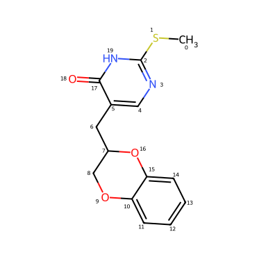 CSc1ncc(CC2COc3ccccc3O2)c(=O)[nH]1